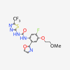 COCCOc1cc(-c2ncco2)c(NC(=O)Nc2nnc(C(F)(F)F)s2)cc1F